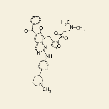 CN(C)CCS(=O)(=O)c1occc1Cn1c(=O)c(C(=O)c2ccccc2)cc2cnc(Nc3ccc(C4CCCN(C)C4)cc3)nc21